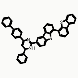 C1=C(c2ccc(-c3ccccc3)cc2)N=C(c2ccc3sc4c(-c5cccc6c5sc5ccccc56)cccc4c3c2)NC1c1ccccc1